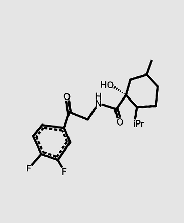 CC1CCC(C(C)C)[C@@](O)(C(=O)NCC(=O)c2ccc(F)c(F)c2)C1